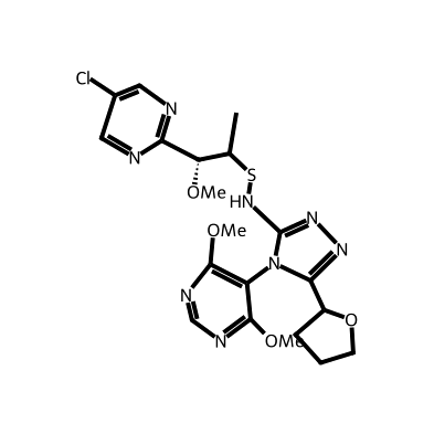 COc1ncnc(OC)c1-n1c(NSC(C)[C@H](OC)c2ncc(Cl)cn2)nnc1C1CCCO1